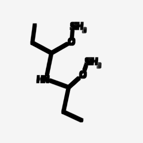 CCC(NC(CC)O[SiH3])O[SiH3]